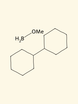 BOC.C1CCC(C2CCCCC2)CC1